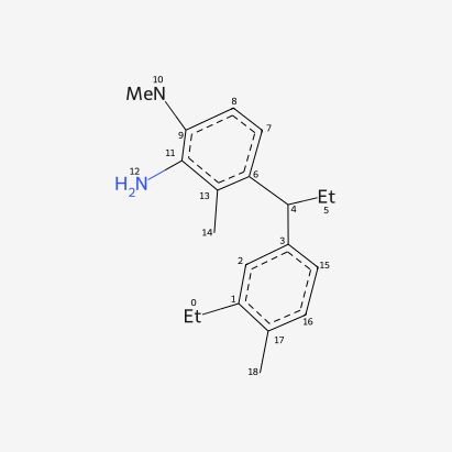 CCc1cc(C(CC)c2ccc(NC)c(N)c2C)ccc1C